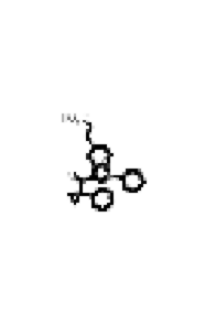 O=C(O)CCc1ccc2c(c1)c(C(=O)C1(c3ccccc3)CC1)cn2-c1ccccc1